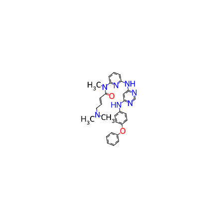 CN(C)CC=CC(=O)N(C)c1cccc(Nc2cc(Nc3ccc(Oc4ccccc4)cc3)ncn2)n1